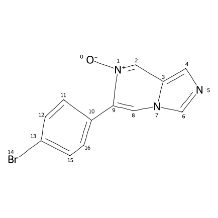 [O-][n+]1cc2cncn2cc1-c1ccc(Br)cc1